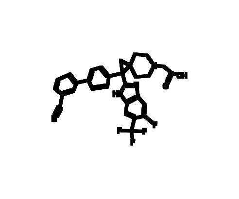 N#Cc1cccc(-c2ccc(C3(c4nc5cc(F)c(C(F)(F)F)cc5[nH]4)CC34CCN(CC(=O)O)CC4)cc2)c1